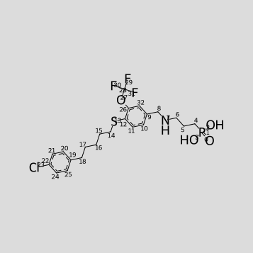 O=P(O)(O)CCCNCc1ccc(SCCCCCc2ccc(Cl)cc2)c(OC(F)(F)F)c1